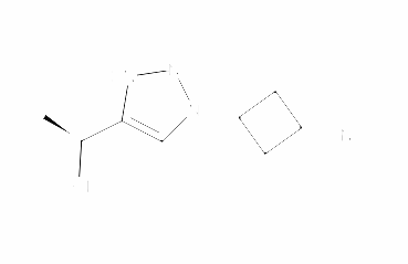 C[C@H](O)C1=CN([C@H]2C[C@@H](N)C2)NN1